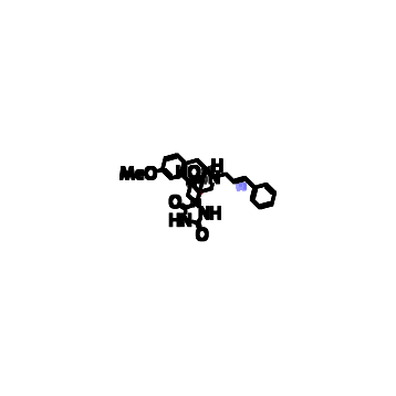 COc1ccc2c(c1)[C@]13CCN(C/C=C/c4ccccc4)[C@H](C2)[C@]1(O)CC[C@@]1(C3)NC(=O)NC1=O